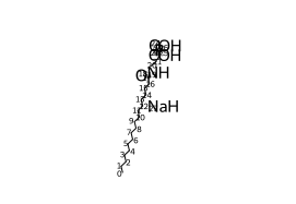 CCCCCCCCCCCCCCCCCC(=O)NCCOP(=O)(O)O.[NaH]